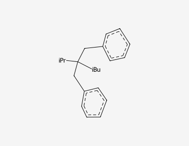 CCC(C)C(Cc1ccccc1)(Cc1ccccc1)C(C)C